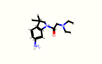 CCN(CC)CC(=O)N1CC(C)(C)c2ccc(N)cc21